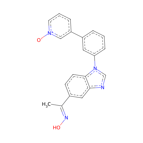 CC(=NO)c1ccc2c(c1)ncn2-c1cccc(-c2ccc[n+]([O-])c2)c1